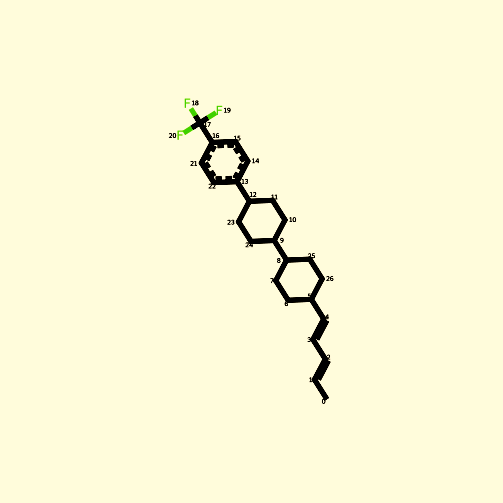 CC=CC=CC1CCC(C2CCC(c3ccc(C(F)(F)F)cc3)CC2)CC1